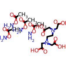 CC(=O)ON.CC(=O)ON.CC(=O)ON.CC(=O)ON.O=C(O)CN(CCN(CC(=O)O)CC(=O)O)CC(=O)O